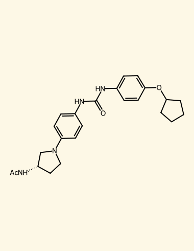 CC(=O)N[C@H]1CCN(c2ccc(NC(=O)Nc3ccc(OC4CCCC4)cc3)cc2)C1